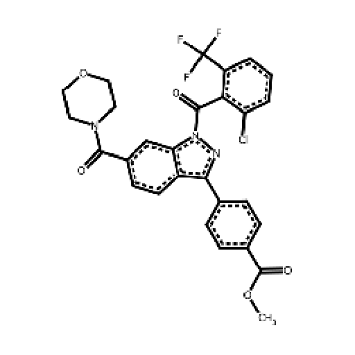 COC(=O)c1ccc(-c2nn(C(=O)c3c(Cl)cccc3C(F)(F)F)c3cc(C(=O)N4CCOCC4)ccc23)cc1